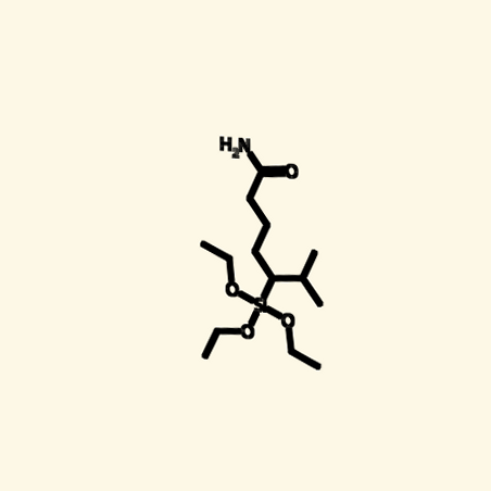 CCO[Si](OCC)(OCC)C(CCCC(N)=O)C(C)C